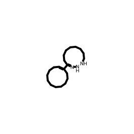 C1=C(C2=NNNCCCCCCCC2)CCCCCCCCCC1